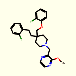 CC(C)(C)Oc1nccnc1CN1CCC(CCc2ccccc2F)(COc2ccccc2F)CC1